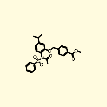 COC(=O)c1ccc(COc2cc(C(C)C)ccc2N(C(C)=O)S(=O)(=O)c2ccccc2)cc1